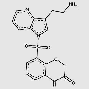 NCCc1cn(S(=O)(=O)c2cccc3c2OCC(=O)N3)c2cccnc12